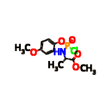 COC(=O)C(C)NP(=O)(Cl)Oc1ccc(OC)cc1